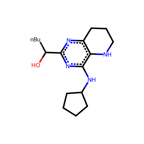 CCCCC(O)c1nc2c(c(NC3CCCC3)n1)NCCC2